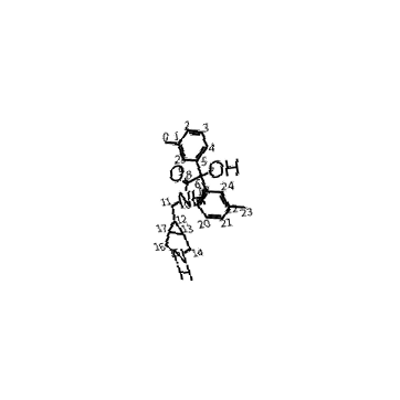 Cc1cccc(C(O)(C(=O)NCC2C3CNCC32)c2cccc(C)c2)c1